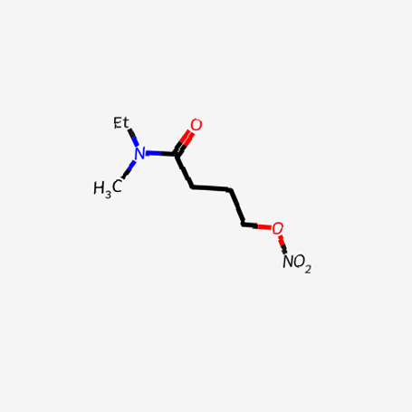 CCN(C)C(=O)CCCO[N+](=O)[O-]